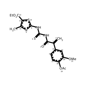 C=C(C(=O)NC(=S)Nc1nc(C)c(C(=O)OCC)s1)c1ccc(OC(C)=O)c(OC)c1